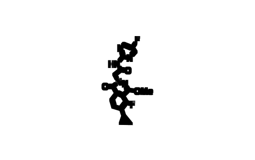 COc1nn(CC(=O)Nc2ncc(F)cn2)c(=O)c2ccc(C3CC3)c(F)c12